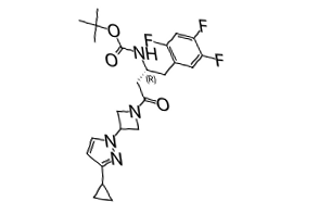 CC(C)(C)OC(=O)N[C@@H](CC(=O)N1CC(n2ccc(C3CC3)n2)C1)Cc1cc(F)c(F)cc1F